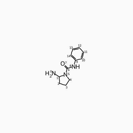 NC1CCCN1C(=O)Nc1[c]cccc1